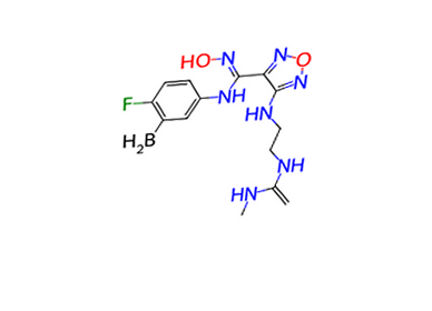 Bc1cc(N/C(=N\O)c2nonc2NCCNC(=C)NC)ccc1F